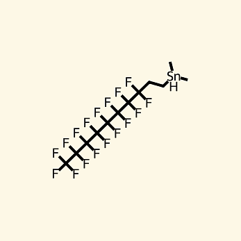 [CH3][SnH]([CH3])[CH2]CC(F)(F)C(F)(F)C(F)(F)C(F)(F)C(F)(F)C(F)(F)C(F)(F)C(F)(F)F